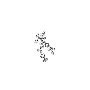 CC(C)(O/N=C(\C(=O)N[C@H]1CON(C2(C(=O)OC(c3ccccc3)c3ccccc3)CCC(=O)O2)C1=O)c1csc(NC(=O)CCl)n1)C(=O)OCc1ccc([N+](=O)[O-])cc1